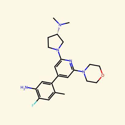 Cc1cc(F)c(N)cc1-c1cc(N2CCOCC2)nc(N2CC[C@H](N(C)C)C2)c1